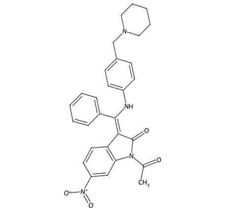 CC(=O)N1C(=O)/C(=C(\Nc2ccc(CN3CCCCC3)cc2)c2ccccc2)c2ccc([N+](=O)[O-])cc21